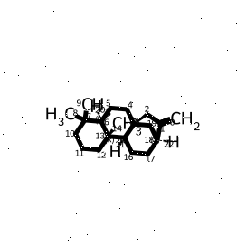 C=C1C[C@]23CC[C@@H]4C(C)(C)CCC[C@@]4(C)[C@@H]2CC[C@H]1C3